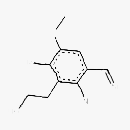 COc1cc(C=N)c(N)c(CCO)c1Br